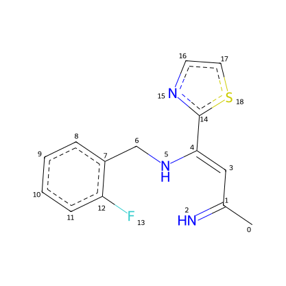 CC(=N)/C=C(\NCc1ccccc1F)c1nccs1